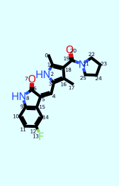 Cc1[nH]c(/C=C2\C(=O)Nc3ccc(F)cc32)c(C)c1C(=O)N1CCCC1